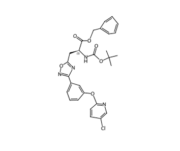 CC(C)(C)OC(=O)N[C@@H](Cc1nc(-c2cccc(Oc3ccc(Cl)cn3)c2)no1)C(=O)OCc1ccccc1